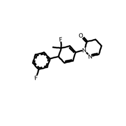 CC1(F)C=C(N2N=CCCC2=O)C=CC1c1cccc(F)c1